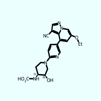 CCOc1cc(-c2ccc(N3CC[C@H](NC(=O)O)[C@H](O)C3)nc2)c2c(C#N)cnn2c1